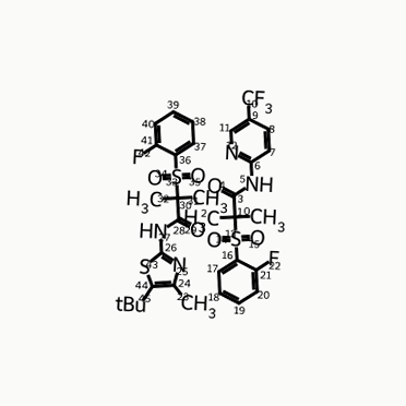 CC(C)(C(=O)Nc1ccc(C(F)(F)F)cn1)S(=O)(=O)c1ccccc1F.Cc1nc(NC(=O)C(C)(C)S(=O)(=O)c2ccccc2F)sc1C(C)(C)C